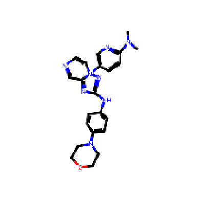 CN(C)c1ccc([N+]23C=CN=CC2=NC(Nc2ccc(N4CCOCC4)cc2)=N3)cn1